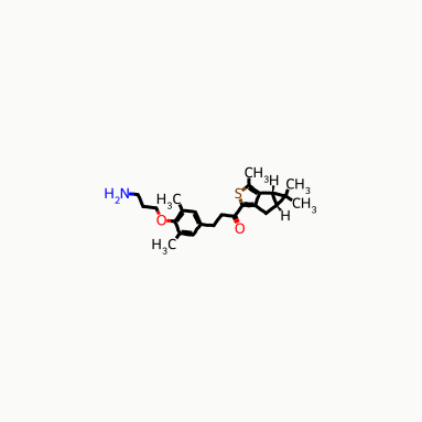 Cc1cc(CCC(=O)c2sc(C)c3c2C[C@@H]2[C@H]3C2(C)C)cc(C)c1OCCCN